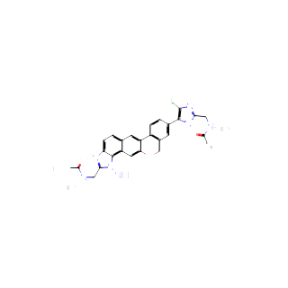 CCCC(=O)N(Cc1nc(Cl)c(-c2ccc3c(c2)COc2cc4c(ccc5nc(CN(C(=O)CCC)[C@@H](C)CC)n(N)c54)cc2-3)[nH]1)[C@@H](C)CC